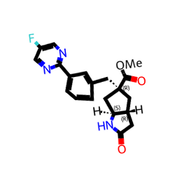 COC(=O)[C@@]1(Cc2cccc(-c3ncc(F)cn3)c2)C[C@@H]2CC(=O)N[C@H]2C1